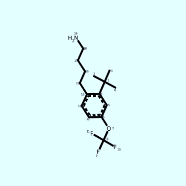 CC(C)(C)c1cc(OC(F)(F)F)ccc1CCCCN